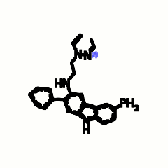 C=CN(CCNc1cc2c(cc1-c1ccccc1)[nH]c1ccc(P)cc12)/N=C\C